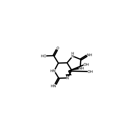 N=C1NC2C(C(=O)O)NC(=N)N3CCC(O)(O)[C@]23N1